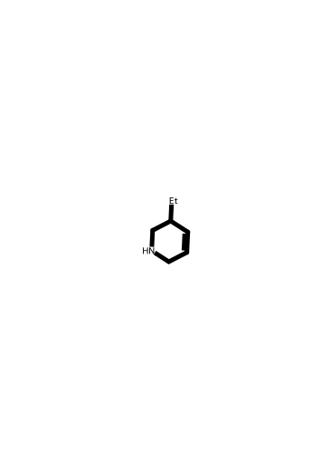 [CH2]CC1C=CCNC1